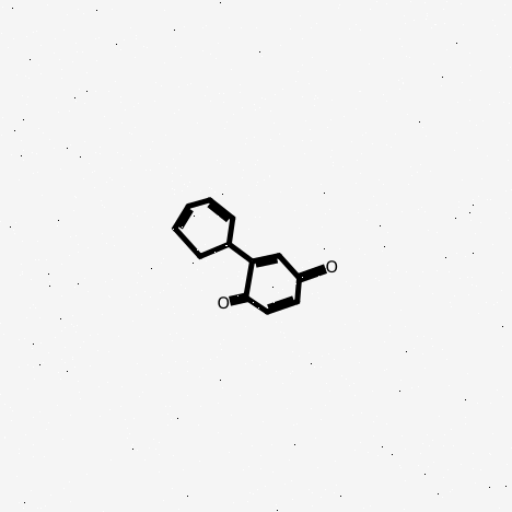 O=C1C=CC(=O)C(C2C=CC=CC2)=C1